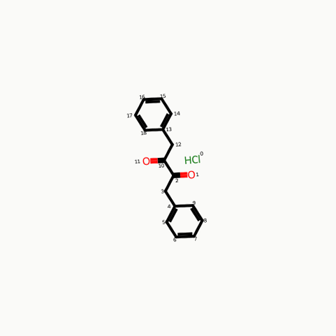 Cl.O=C(Cc1ccccc1)C(=O)Cc1ccccc1